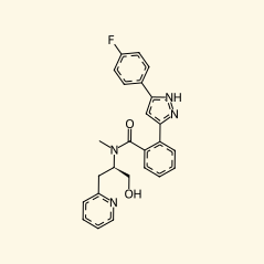 CN(C(=O)c1ccccc1-c1cc(-c2ccc(F)cc2)[nH]n1)[C@@H](CO)Cc1ccccn1